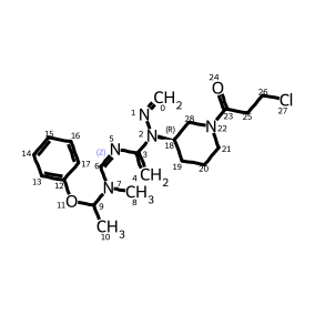 C=NN(C(=C)/N=C\N(C)C(C)Oc1ccccc1)[C@@H]1CCCN(C(=O)CCCl)C1